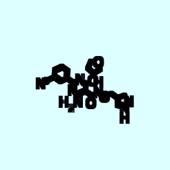 N#Cc1cccc(-c2nc(N)c(C(=O)NOCc3cn[nH]c3)c(O[C@H]3CCOC3)n2)c1